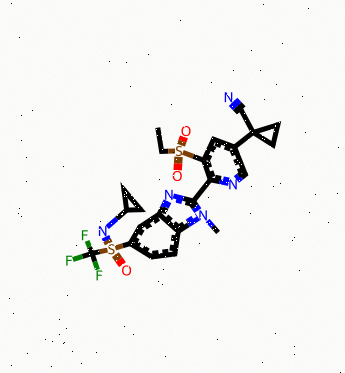 CCS(=O)(=O)c1cc(C2(C#N)CC2)cnc1-c1nc2cc(S(=O)(=NC3CC3)C(F)(F)F)ccc2n1C